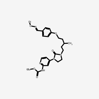 CCON=Cc1ccc(OCCC(C)CCN2CCN(c3ccnc(NC(=O)OC(C)(C)C)c3)C2=O)cc1